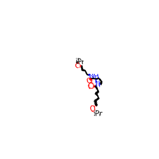 CC(C)OCCCCCC(=O)N1CCCC1C(=O)NCCCCOC(C)C